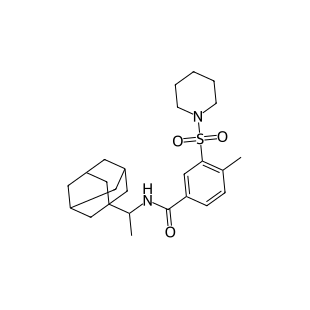 Cc1ccc(C(=O)NC(C)C23CC4CC(CC(C4)C2)C3)cc1S(=O)(=O)N1CCCCC1